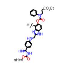 CCCCCCOC(=O)NC(=N)c1ccc(NCc2nc3c(C)c(OC(=O)N(CCC(=O)OCC)c4ccccc4)ccc3[nH]2)cc1